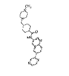 CN1CCN(CC2CCC(C(=O)Nc3cc4cc(-c5cnccn5)ccc4nn3)CC2)CC1